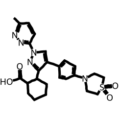 Cc1ccc(-n2cc(-c3ccc(N4CCS(=O)(=O)CC4)cc3)c(C3CCCCC3C(=O)O)n2)nn1